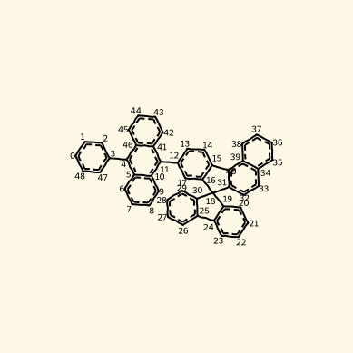 c1ccc(-c2c3ccccc3c(-c3ccc4c(c3)C3(c5ccccc5-c5ccccc53)c3ccc5ccccc5c3-4)c3ccccc23)cc1